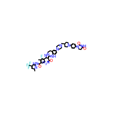 Cc1cc(C(F)(F)F)cc(NC(=O)c2ccc(-c3nn4c(c3C(N)=O)Nc3ccc(N5CCN(CC6CCN(c7ccc(N8CCC(=O)NC8=O)cc7)CC6)CC5)cc3CC4)c(F)c2C)n1